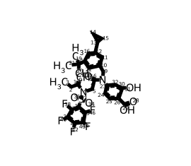 C=C(CC)N(CC(=O)N(Cc1cc(C2CC2)cc(C(C)(C)C)c1)c1ccc(C(=O)O)c(O)c1)S(=O)(=O)c1c(F)c(F)c(F)c(F)c1F